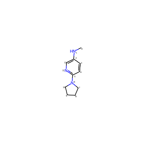 CNc1ccc(N2CCCC2)nc1